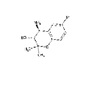 CC1(C)Oc2ccc(Br)cc2[C@H](N)[C@H]1O